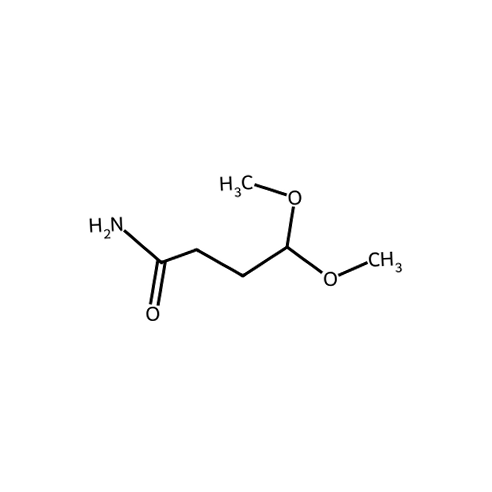 COC(CCC(N)=O)OC